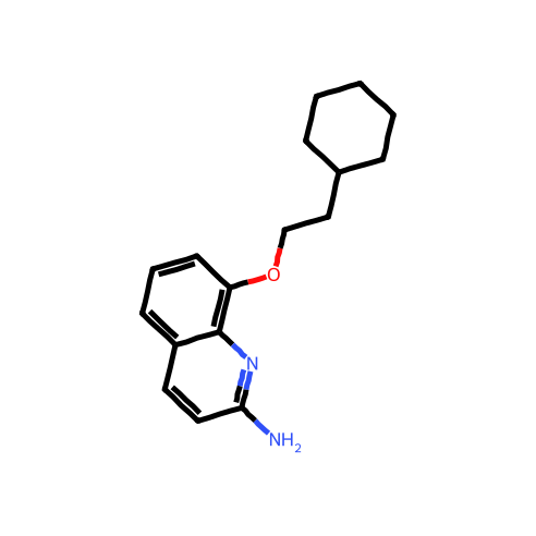 Nc1ccc2cccc(OCCC3CCCCC3)c2n1